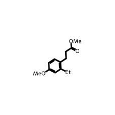 CCc1cc(OC)ccc1CCC(=O)OC